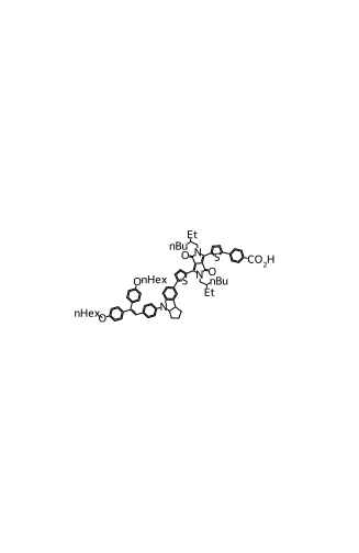 CCCCCCOc1ccc(C(=Cc2ccc(N3c4ccc(-c5ccc(C6=C7C(=O)N(CC(CC)CCCC)C(c8ccc(-c9ccc(C(=O)O)cc9)s8)=C7C(=O)N6CC(CC)CCCC)s5)cc4C4CCCC43)cc2)c2ccc(OCCCCCC)cc2)cc1